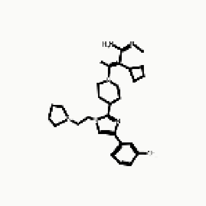 C/N=C(N)\C(=C(/C)N1CCC(c2nc(-c3cccc(C(F)(F)F)c3)cn2CCN2CCCC2)CC1)C1CCC1